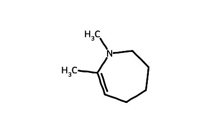 CC1=CCCCCN1C